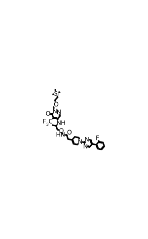 CC(CONC(=O)CC1=CCN(c2ncc(-c3ccccc3F)cn2)CC1)Nc1cnn(COCC[Si](C)(C)C)c(=O)c1C(F)(F)F